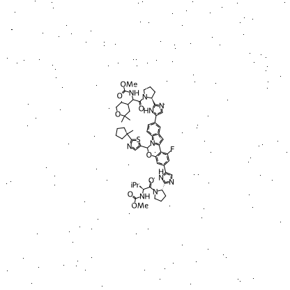 COC(=O)NC(C(=O)N1CCC[C@H]1c1ncc(-c2ccc3c(c2)cc2n3C(c3cnc(C4(C)CCCC4)s3)Oc3cc(-c4cnc([C@@H]5CCCN5C(=O)[C@@H](NC(=O)OC)C(C)C)[nH]4)cc(F)c3-2)[nH]1)C1CCOC(C)(C)C1